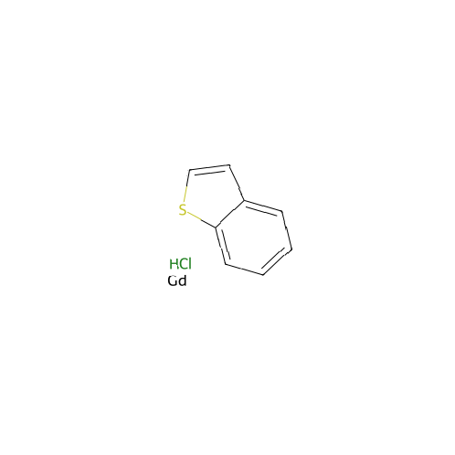 Cl.[Gd].c1ccc2sccc2c1